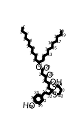 CCCCCCCCCCC(CCCCCCCCCC)OC(=O)CC(=O)CC(O)CC1(CCc2ccc(O)cc2)SCCCS1